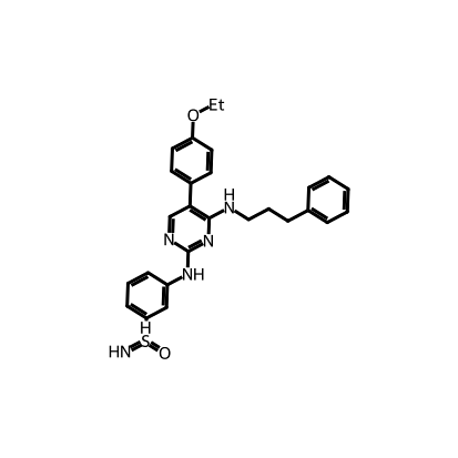 CCOc1ccc(-c2cnc(Nc3cccc([SH](=N)=O)c3)nc2NCCCc2ccccc2)cc1